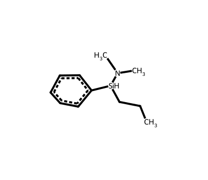 CCC[SiH](c1ccccc1)N(C)C